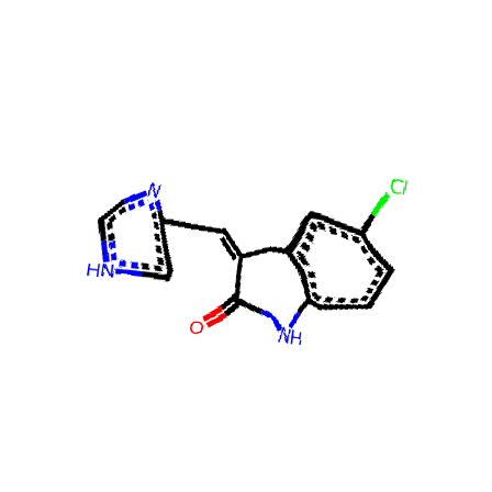 O=C1Nc2ccc(Cl)cc2/C1=C/c1c[nH]cn1